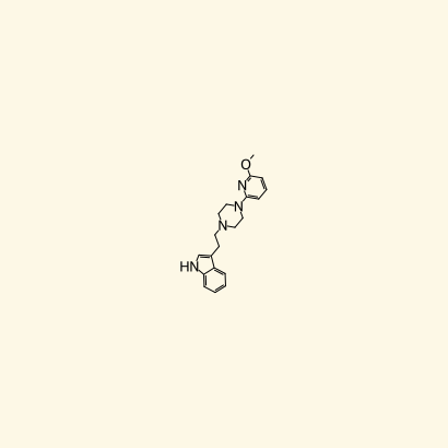 COc1cccc(N2CCN(CCc3c[nH]c4ccccc34)CC2)n1